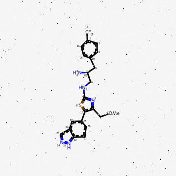 COCc1nc(NC[C@@H](N)Cc2ccc(C(F)(F)F)cc2)sc1-c1ccc2[nH]ncc2c1